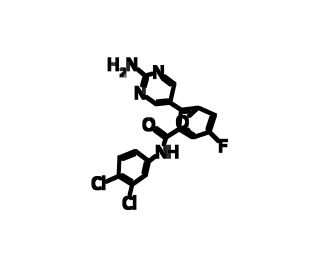 Nc1ncc(-c2c(C(=O)Nc3ccc(Cl)c(Cl)c3)c3oc2cc3F)cn1